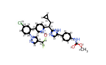 COC(=O)Nc1ccc(-c2cnc(C(CC3CC3)c3ccc(-c4cc(Cl)ccc4-n4cc(C(F)F)cn4)c[n+]3[O-])[nH]2)cc1